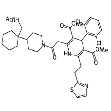 COC(=O)C1=C(CCc2nccs2)NC(CC(=O)N2CCC(C3(CNC(C)=O)CCCCC3)CC2)=C(C(=O)OC)C1c1c(Cl)cccc1Cl